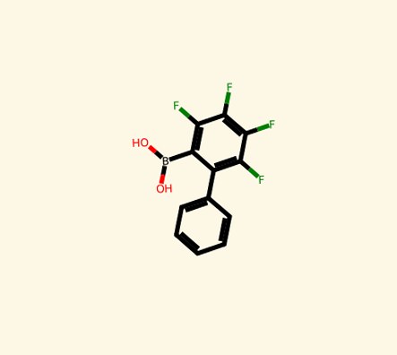 OB(O)c1c(F)c(F)c(F)c(F)c1-c1ccccc1